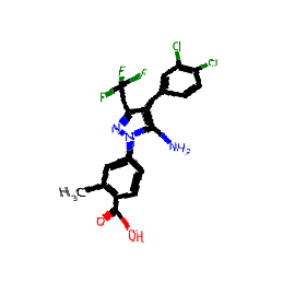 Cc1cc(-n2nc(C(F)(F)F)c(-c3ccc(Cl)c(Cl)c3)c2N)ccc1C(=O)O